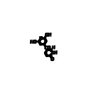 O=C(O)c1cc(O)nc(O)c1.O=c1cccc[nH]1